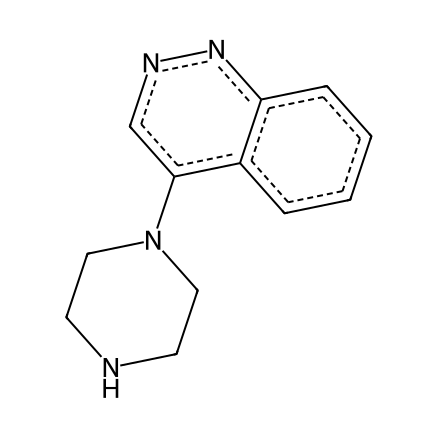 c1ccc2c(N3CCNCC3)cnnc2c1